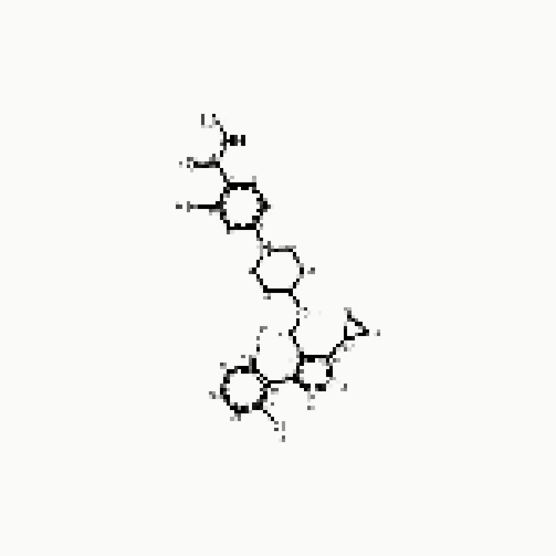 NNC(=O)c1ccc(N2CCC(OCc3c(-c4c(Cl)cccc4Cl)noc3C3CC3)CC2)cc1F